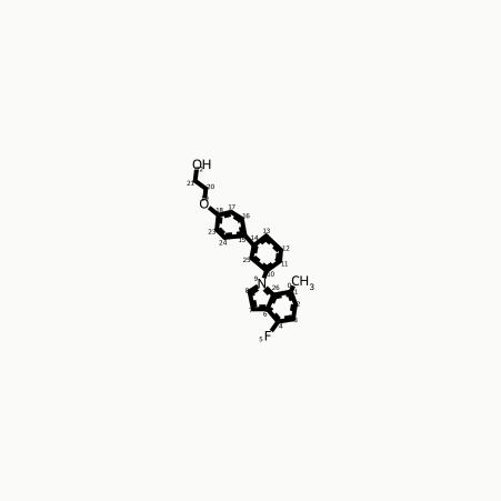 Cc1ccc(F)c2ccn(-c3cccc(-c4ccc(OCCO)cc4)c3)c12